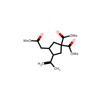 C=C(C)C1CC(C(=O)OC)(C(=O)OC)CC1CC(=O)OC